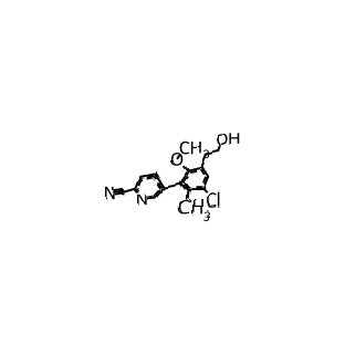 COc1c(CCO)cc(Cl)c(C)c1-c1ccc(C#N)nc1